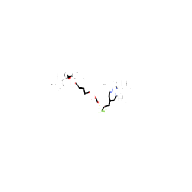 CC(C)(C)OCCCCCOCCOC(CC1CCN(C(C)(C)C)CC1)C(F)(F)F